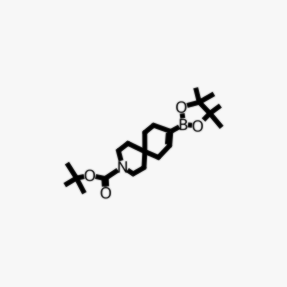 CC(C)(C)OC(=O)N1CCC2(CC=C(B3OC(C)(C)C(C)(C)O3)CC2)CC1